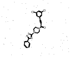 O=C(C#Cc1cc(Cl)cc(Cl)c1)N1CCN(c2nc(-c3ccccc3)ns2)CC1